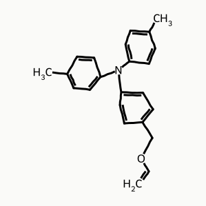 C=COCc1ccc(N(c2ccc(C)cc2)c2ccc(C)cc2)cc1